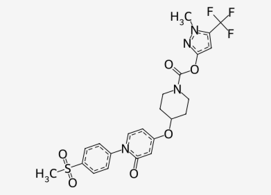 Cn1nc(OC(=O)N2CCC(Oc3ccn(-c4ccc(S(C)(=O)=O)cc4)c(=O)c3)CC2)cc1C(F)(F)F